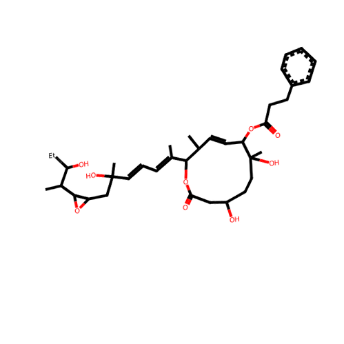 CCC(O)C(C)C1OC1CC(C)(O)/C=C/C=C(\C)C1OC(=O)CC(O)CCC(C)(O)C(OC(=O)CCc2ccccc2)/C=C/C1C